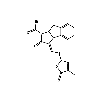 CCC(=O)N1C(=O)/C(=C/OC2C=C(C)C(=O)O2)C2c3ccccc3CC21